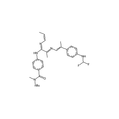 C\C=C/N=C(Nc1ccc(C(=O)N(C)CCCC)cc1)\C(C)=N\C=C(/C)c1ccc(NC(F)F)cc1